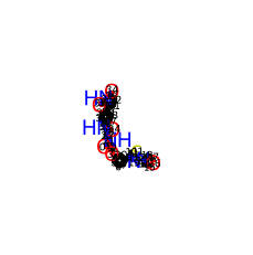 O=C(COc1cccc(-c2csc(N3CCOCC3)n2)c1)NCC(=O)Nc1ccc(C2CCC(=O)NC2=O)cc1